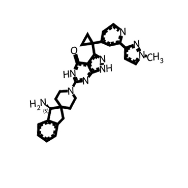 Cn1ccc(-c2cc(C3(c4n[nH]c5nc(N6CCC7(CC6)Cc6ccccc6[C@H]7N)[nH]c(=O)c45)CC3)ccn2)n1